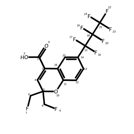 O=C(O)C1=CC(CF)(CF)Oc2ccc(C(F)(F)C(F)(F)C(F)(F)F)cc21